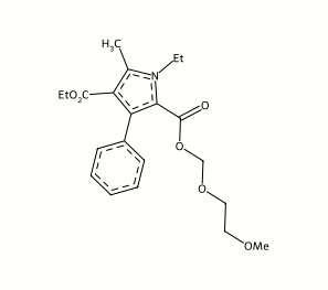 CCOC(=O)c1c(-c2ccccc2)c(C(=O)OCOCCOC)n(CC)c1C